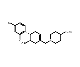 CCOC(=O)C1CCN(CC2=CC[C@@H](c3ccc(Cl)cc3Cl)[C@H]([N+](=O)[O-])C2)CC1